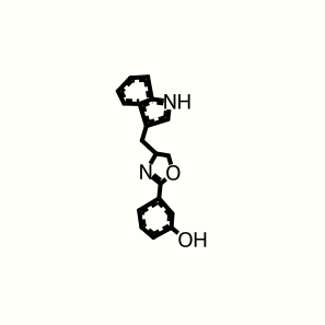 Oc1cccc(C2=NC(Cc3c[nH]c4ccccc34)CO2)c1